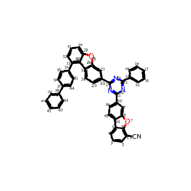 N#Cc1cccc2c1oc1cc(-c3nc(-c4ccccc4)nc(-c4ccc5c(c4)oc4cccc(-c6ccc(-c7ccccc7)cc6)c45)n3)ccc12